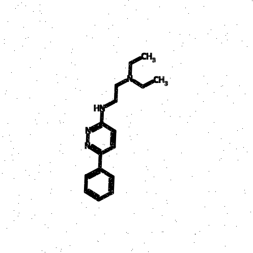 CCN(CC)CCNc1ccc(-c2ccccc2)nn1